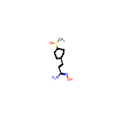 C[S+]([O-])c1ccc(C=CC(N)=NO)cc1